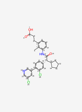 Cc1c(CCC(=O)O)cccc1NC(=O)[C@@H](c1ccc(-c2cncc(Cl)c2)c(Cl)c1)C1CCCC1